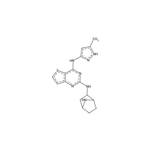 Cc1cc(Nc2nc(NC3CC4CCC3N4)nc3ccsc23)n[nH]1